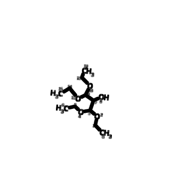 CCOC(OCC)C(O)C(OCC)OCC